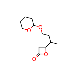 CC(CCOC1CCCCO1)C1CC(=O)O1